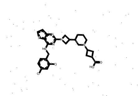 O=C(O)C1CC(N2CCCC(C3CN(c4nc(NCc5ccc(Cl)cc5Cl)c5sccc5n4)C3)C2)C1